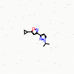 CC(C)n1ccc(-c2cc(C3CC3)on2)n1